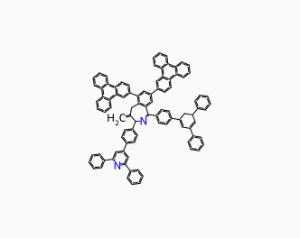 C=C1Cc2c(cc(-c3ccc4c5ccccc5c5ccccc5c4c3)cc2-c2ccc3c4ccccc4c4ccccc4c3c2)C(c2ccc(C3=CC(c4ccccc4)=CC(c4ccccc4)C3)cc2)=NC1c1ccc(-c2cc(-c3ccccc3)nc(-c3ccccc3)c2)cc1